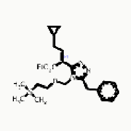 CCOC(=O)/C(=C\CC1CC1)c1nnc(Cc2ccccc2)n1COCCS(C)(C)C